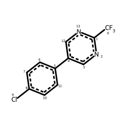 FC(F)(F)c1ncc(-c2ccc(Cl)cc2)cn1